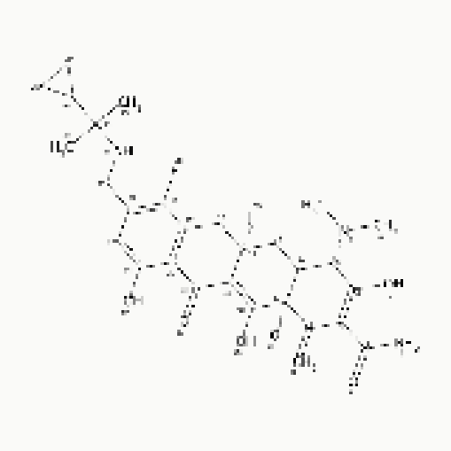 C=C1C(C(N)=O)=C(O)[C@@H](N(C)C)C2C[C@@H]3Cc4c(F)c(CNC(C)(C)C5CC5)cc(O)c4C(=O)C3=C(O)[C@]12O